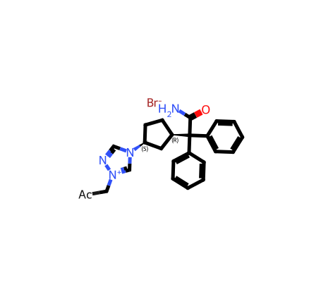 CC(=O)C[n+]1cn([C@H]2CC[C@@H](C(C(N)=O)(c3ccccc3)c3ccccc3)C2)cn1.[Br-]